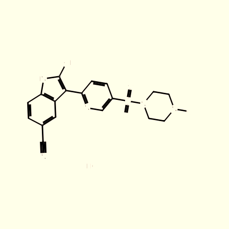 CN1CCN(S(=O)(=O)c2ccc(-c3c(O)[nH]c4ccc(C#N)cc34)nc2)CC1.Cl